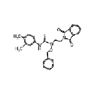 Cc1ccc(NC(=S)N(CCN2C(=O)c3ccccc3C2=O)OCc2ccccc2)cc1C